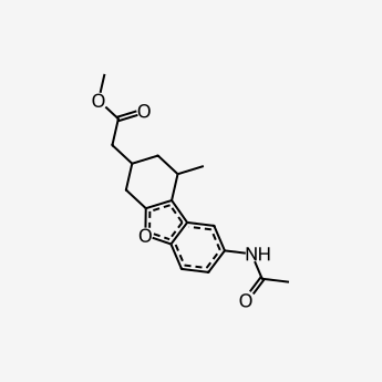 COC(=O)CC1Cc2oc3ccc(NC(C)=O)cc3c2C(C)C1